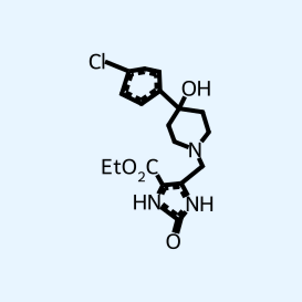 CCOC(=O)c1[nH]c(=O)[nH]c1CN1CCC(O)(c2ccc(Cl)cc2)CC1